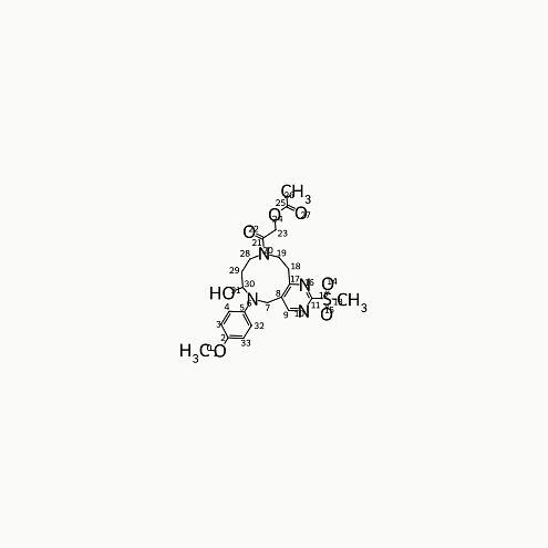 COc1ccc(N2Cc3cnc(S(C)(=O)=O)nc3CCN(C(=O)COC(C)=O)CCC2O)cc1